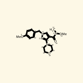 COc1ccc(Cn2cc(C(=O)N(C)OC)c(N3CCOCC3)n2)cc1